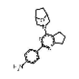 Nc1ccc(-c2nc3c(c(N4CC5CCC(C4)O5)n2)CCC3)cc1